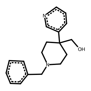 OCC1(c2cccnc2)CCN(Cc2ccccc2)CC1